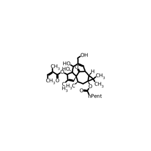 C/C=C(/C)C(=O)OC1C(C)=C[C@]23C(=O)C(C=C(CO)C(O)[C@]12O)[C@@H]1C(C)(C)[C@]1(OC(=O)CCCCC)C[C@H]3C